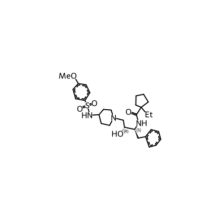 CCC1(C(=O)N[C@@H](Cc2ccccc2)[C@H](O)CN2CCC(NS(=O)(=O)c3ccc(OC)cc3)CC2)CCCC1